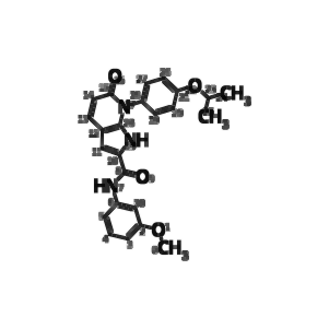 COc1cccc(NC(=O)c2cc3ccc(=O)n(-c4ccc(OC(C)C)cc4)c3[nH]2)c1